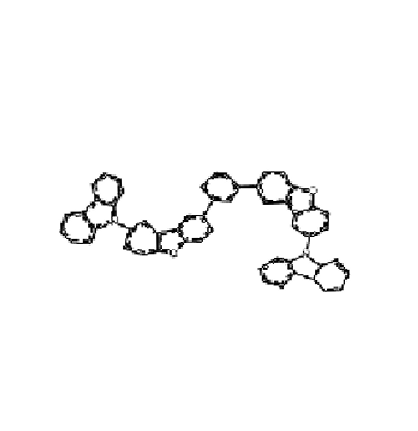 C1=CC2c3ccccc3N(c3ccc4oc5ccc(-c6cccc(-c7ccc8oc9ccc(-n%10c%11ccccc%11c%11ccccc%11%10)cc9c8c7)c6)cc5c4c3)C2C=C1